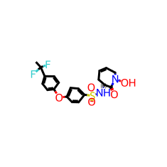 CC(F)(F)c1ccc(Oc2ccc(S(=O)(=O)N[C@@H]3CC=CCN(O)C3=O)cc2)cc1